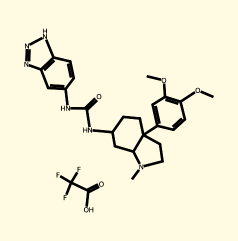 COc1ccc(C23CCC(NC(=O)Nc4ccc5[nH]nnc5c4)CC2N(C)CC3)cc1OC.O=C(O)C(F)(F)F